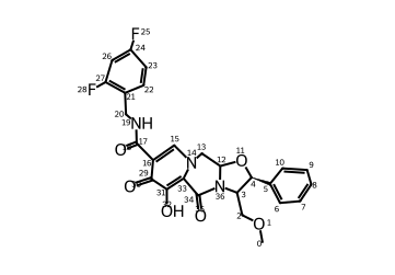 COCC1[C@H](c2ccccc2)OC2Cn3cc(C(=O)NCc4ccc(F)cc4F)c(=O)c(O)c3C(=O)N21